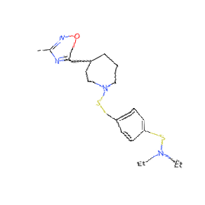 CCN(CC)Sc1ccc(SN2CCCC(c3nc(C)no3)C2)cc1